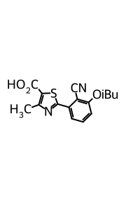 Cc1nc(-c2cccc(OCC(C)C)c2C#N)sc1C(=O)O